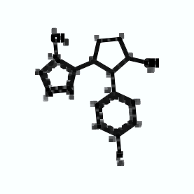 Cn1cnnc1C1CCC(O)C1c1ccc(F)cc1